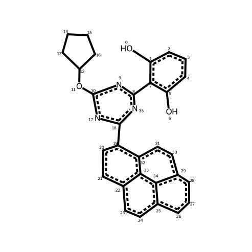 Oc1cccc(O)c1-c1nc(OC2CCCC2)nc(-c2ccc3ccc4cccc5ccc2c3c45)n1